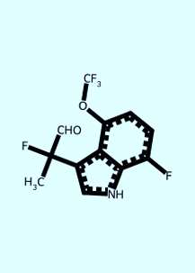 CC(F)(C=O)c1c[nH]c2c(F)ccc(OC(F)(F)F)c12